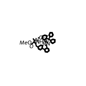 COC(=O)C1=C(Cc2ccc(-c3ccccc3-c3nnn(C(c4ccccc4)(c4ccccc4)c4ccccc4)n3)cc2)NN(CC(F)(F)F)C1C